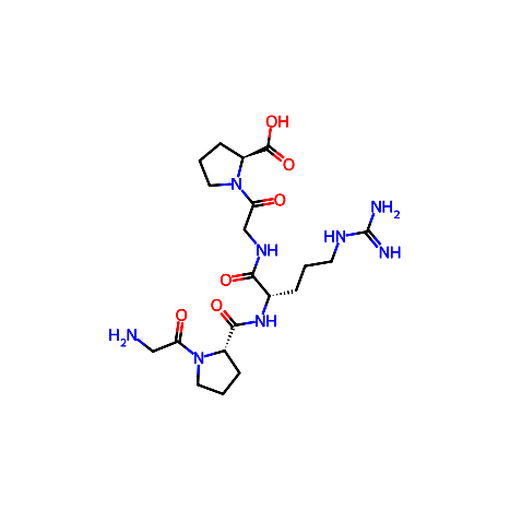 N=C(N)NCCC[C@H](NC(=O)[C@@H]1CCCN1C(=O)CN)C(=O)NCC(=O)N1CCC[C@H]1C(=O)O